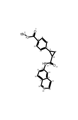 CC(C)(C)OC(=O)c1ccc(C2CC2C(=O)Nc2ccc3cnccc3c2)cc1